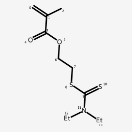 C=C(C)C(=O)OCCSC(=S)N(CC)CC